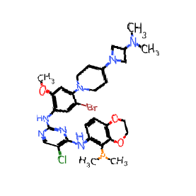 COc1cc(N2CCC(N3CC(N(C)C)C3)CC2)c(Br)cc1Nc1ncc(Cl)c(Nc2ccc3c(c2P(C)C)OCCO3)n1